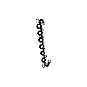 O=C1C=CC(=O)N1c1cccc(Oc2cccc(Oc3cccc(Oc4cccc(Oc5cccc(Oc6cccc(N7C(=O)C=CC7=O)c6)c5)c4)c3)c2)c1